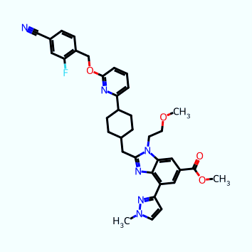 COCCn1c(CC2CCC(c3cccc(OCc4ccc(C#N)cc4F)n3)CC2)nc2c(-c3ccn(C)n3)cc(C(=O)OC)cc21